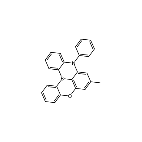 Cc1cc2c3c(c1)N(c1ccccc1)c1ccccc1B3c1ccccc1O2